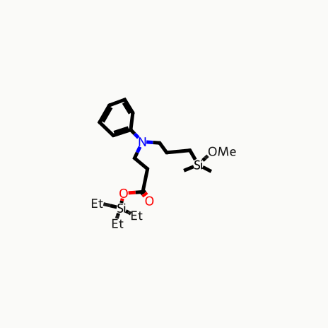 CC[Si](CC)(CC)OC(=O)CCN(CCC[Si](C)(C)OC)c1ccccc1